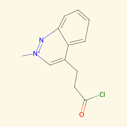 C[n+]1cc(CCC(=O)Cl)c2ccccc2n1